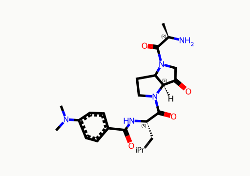 CC(C)C[C@H](NC(=O)c1ccc(N(C)C)cc1)C(=O)N1CCC2[C@H]1C(=O)CN2C(=O)[C@@H](C)N